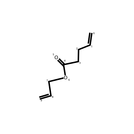 C=CCCC(=O)OCC=C